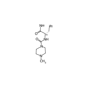 CC(C)C[C@H](NC(=O)N1CCN(C)CC1)C([NH])=O